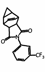 O=C1C2C3C=CC(C4CC34)C2C(=O)N1c1cccc(C(F)(F)F)c1